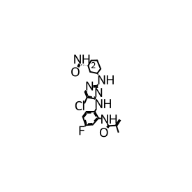 C=C(C)C(=O)Nc1cc(F)ccc1Nc1nc(N[C@H]2CCC[C@@H](C(N)=O)C2)ncc1Cl